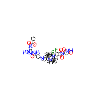 [2H]C1([2H])N(CC2CCN(c3ccc(C(=O)Nc4n[nH]c5c4CN(C(=O)[C@H](OC)c4ccccc4)C5)cc3)CC2)C([2H])([2H])C([2H])([2H])N(c2cc3c(c(F)c2F)C(=O)N(C2CCC(=O)NC2=O)C3=O)C1([2H])[2H]